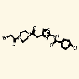 O=C(Nc1nc(CC(=O)N2CCN(C(=O)CBr)CC2)cs1)c1ccc(Cl)cc1